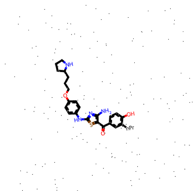 CCCc1cc(C(=O)c2sc(Nc3ccc(OCCCC4CCCN4)cc3)nc2N)ccc1O